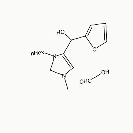 CCCCCCN1CN(C)C=C1C(O)c1ccco1.O=CO